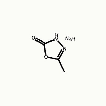 Cc1n[nH]c(=O)o1.[NaH]